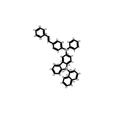 C(=C\c1ccc(N(c2ccccc2)c2ccc3c(c2)c2ccccc2n3-c2cccc3ccccc23)cc1)/c1ccccc1